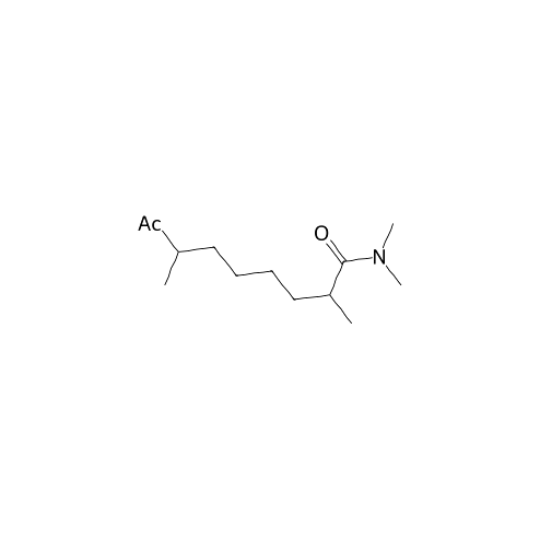 CC(=O)C(C)CCCCC(C)C(=O)N(C)C